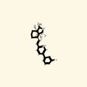 C[C@H]1OC(O)[C@@H]2CCC[C@H](/C=C/c3ccc(-c4cccc(F)c4)cn3)[C@H]12